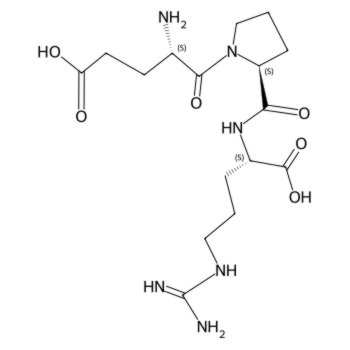 N=C(N)NCCC[C@H](NC(=O)[C@@H]1CCCN1C(=O)[C@@H](N)CCC(=O)O)C(=O)O